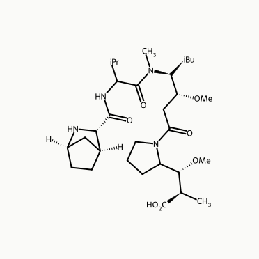 CC[C@H](C)[C@@H]([C@@H](CC(=O)N1CCCC1[C@H](OC)[C@@H](C)C(=O)O)OC)N(C)C(=O)C(NC(=O)[C@H]1N[C@@H]2CC[C@H]1C2)C(C)C